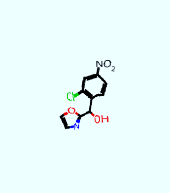 O=[N+]([O-])c1ccc(C(O)c2ncco2)c(Cl)c1